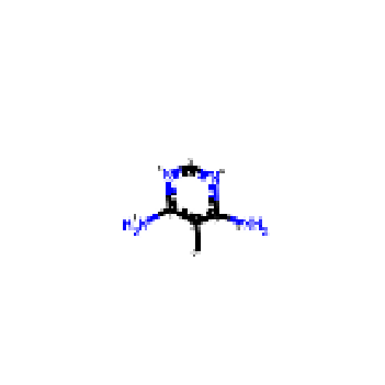 Cc1c(N)ncnc1N